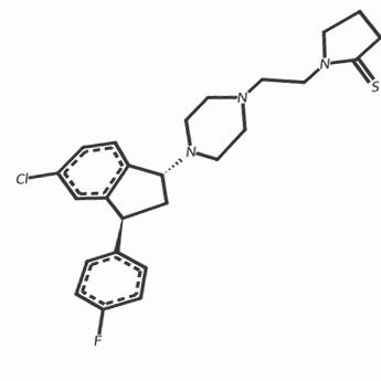 Fc1ccc([C@@H]2C[C@@H](N3CCN(CCN4CCCC4=S)CC3)c3ccc(Cl)cc32)cc1